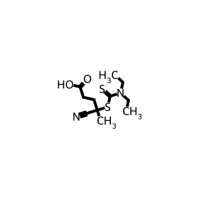 CCN(CC)C(=S)SC(C)(C#N)CCC(=O)O